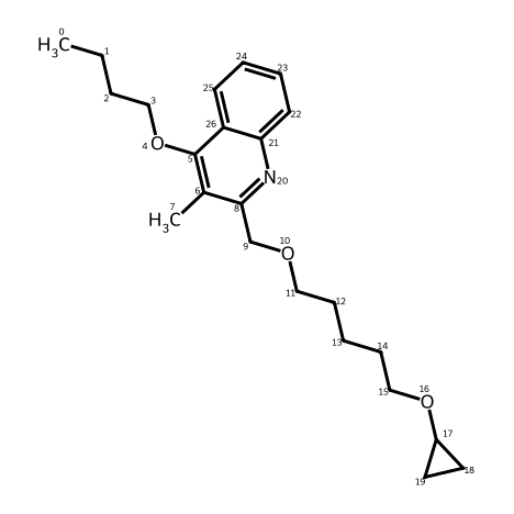 CCCCOc1c(C)c(COCCCCCOC2CC2)nc2ccccc12